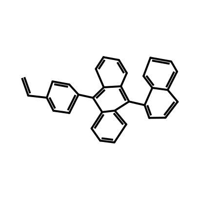 C=Cc1ccc(-c2c3ccccc3c(-c3cccc4ccccc34)c3ccccc23)cc1